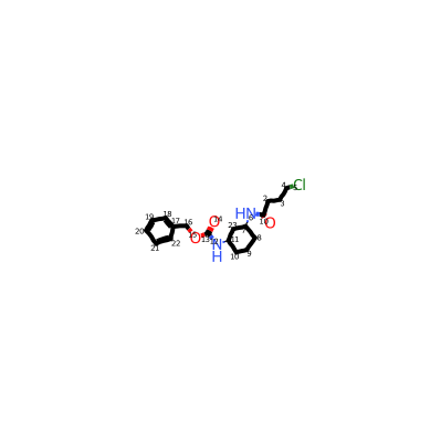 O=C(CCCCl)N[C@@H]1CCC[C@H](NC(=O)OCc2ccccc2)C1